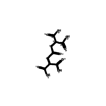 O=C(CC(C(=O)O)C(=O)O)CC(C(=O)O)C(=O)O